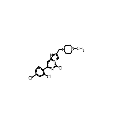 CN1CCN(Cc2cn3c(Cl)nc(-c4ccc(Cl)cc4Cl)cc3n2)CC1